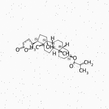 C=C(C)C(=O)O[C@H]1CC[C@@]2(C)[C@H](CC[C@@H]3[C@@H]2CC[C@]2(C)[C@@H](c4ccc(=O)oc4)CC[C@]32O)C1